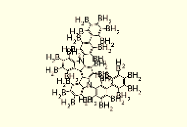 Bc1c(B)c(B)c(-c2c(B)c(B)c(-n3c4c(B)c(B)c(B)c(B)c4c4c5c6c(B)c(B)c(B)c(B)c6n(-c6c(B)c(B)c(B)c(-c7c(B)c(B)c(B)c(B)c7B)c6B)c5c(B)c(B)c43)c(B)c2B)c(B)c1B